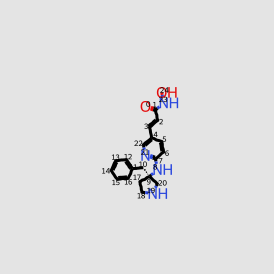 O=C(/C=C/c1ccc(N[C@]2(Cc3ccccc3)CCNC2)nc1)NO